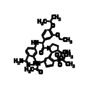 CCOc1cc(C(Nc2ccc3c(N)nccc3c2)C(=O)N2CC[C@@H](C(=O)O)[C@H]2c2cc(NC(C)=O)ccc2S(=O)(=O)C(C)C)ccc1OC(C)C